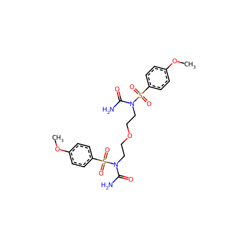 COc1ccc(S(=O)(=O)N(CCOCCN(C(N)=O)S(=O)(=O)c2ccc(OC)cc2)C(N)=O)cc1